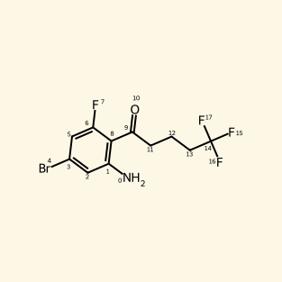 Nc1cc(Br)cc(F)c1C(=O)CCCC(F)(F)F